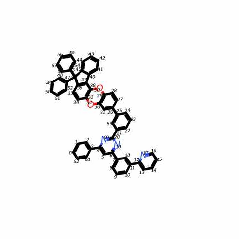 c1ccc(-c2cc(-c3cccc(-c4ccccn4)c3)nc(-c3cccc(-c4ccc5c(c4)Oc4ccc6c(c4O5)-c4ccccc4C6(c4ccccc4)c4ccccc4)c3)n2)cc1